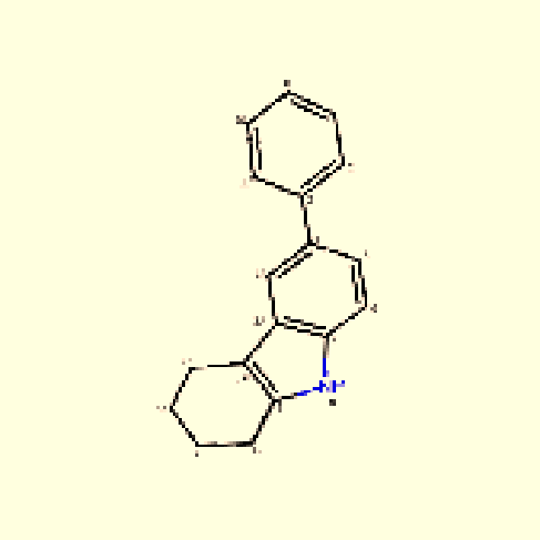 c1ccc(-c2ccc3[nH]c4c(c3c2)CCCC4)cc1